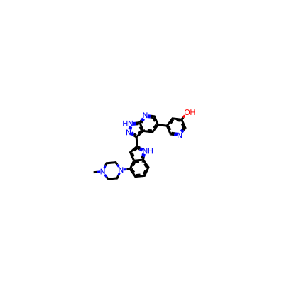 CN1CCN(c2cccc3[nH]c(-c4n[nH]c5ncc(-c6cncc(O)c6)cc45)cc23)CC1